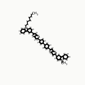 CCCCCCCCn1c2ccccc2c2cc(-c3cc4sc(-c5ccc(-c6ccc(-c7cc8sc(-c9ccc%10c(c9)c9ccccc9n%10C)cc8s7)cc6)cc5)cc4s3)ccc21